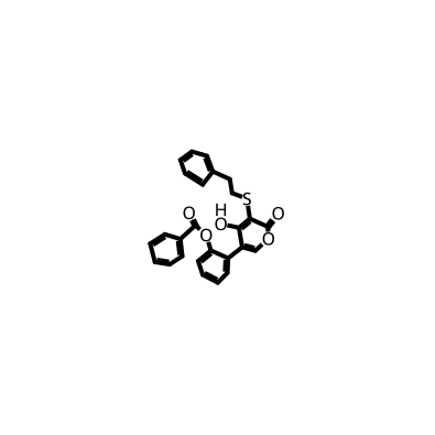 O=C(Oc1ccccc1-c1coc(=O)c(SCCc2ccccc2)c1O)c1ccccc1